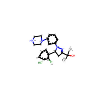 Cl.OC(C1=NN(c2cccc(N3CCNCC3)c2)C(c2ccccc2Cl)C1)(C(F)(F)F)C(F)(F)F